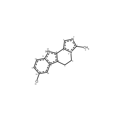 Cc1ncc2n1CCc1c-2[nH]c2ccc(Cl)cc12